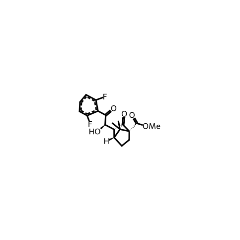 COC(=O)[C@@]12CC[C@H]([C@H]([C@@H](O)C(=O)c3c(F)cccc3F)C1=O)C2(C)C